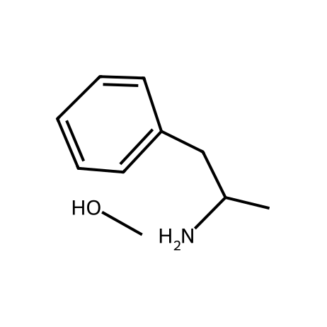 CC(N)Cc1ccccc1.CO